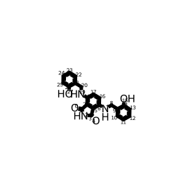 O=C1NC(=O)c2c(NCc3ccccc3O)ccc(NCc3ccccc3O)c21